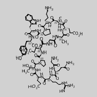 C[C@H](NC(=O)CNC(=O)[C@H](CCC(=O)O)NC(=O)[C@@H]1CCCN1C(=O)[C@@H](NC(=O)[C@H](CCC(=O)O)NC(=O)[C@H](CCCNC(=N)N)NC(=O)[C@H](CCC(N)=O)NC(=O)CN)[C@@H](C)O)C(=O)N[C@@H](CCC(=O)O)C(=O)N[C@@H](C)C(=O)N[C@@H](CCCCN)C(=O)N1CCC[C@H]1C(=O)N[C@@H](Cc1c[nH]c2ccccc12)C(=O)N[C@@H](Cc1ccc(O)cc1)C(=O)O